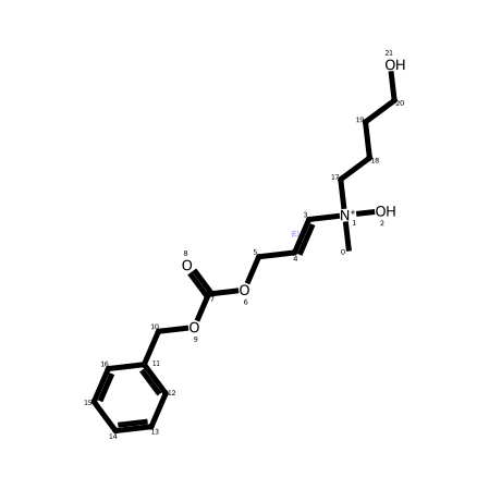 C[N+](O)(/C=C/COC(=O)OCc1ccccc1)CCCCO